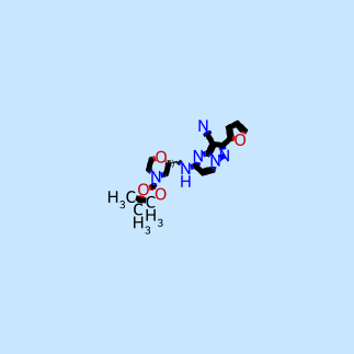 CC(C)(C)OC(=O)N1CCO[C@H](CNc2ccn3nc(-c4ccco4)c(C#N)c3n2)C1